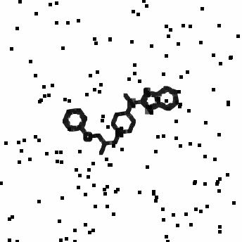 CC(COc1ccccc1)CN1CCC(N(C)c2nc3ccccc3s2)CC1